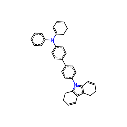 C1=CCCC(N(c2ccccc2)c2ccc(-c3ccc(-n4c5c(c6c4CCC=C6)CCC=C5)cc3)cc2)=C1